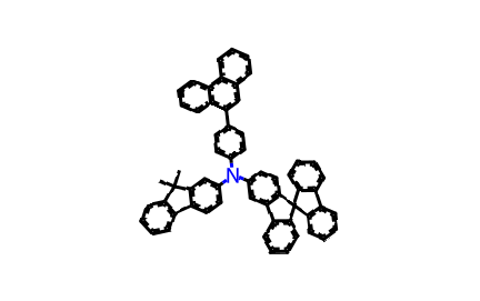 CC1(C)c2ccccc2-c2ccc(N(c3ccc(-c4cc5ccccc5c5ccccc45)cc3)c3ccc4c(c3)-c3ccccc3C43c4ccccc4-c4ccccc43)cc21